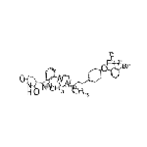 C[C@@H](CCC1CCC(Oc2cccc(Br)c2C(F)(F)F)CC1)N1CCN(c2cccc3c(C4CCC(=O)NC4=O)nn(C)c23)CC1